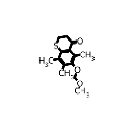 COCOc1c(C)c(C)c2c(c1C)C(=O)CCS2